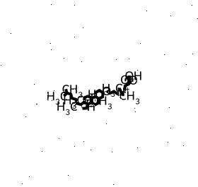 CC(C)CCC[C@@H](C)[C@H]1CC[C@H]2[C@@H]3CC=C4C[C@@H](OCCC[N+](C)(C)CCCS(=O)(=O)O)CC[C@]4(C)[C@H]3CC[C@]12C